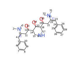 CN(C)/C(=C/c1ccccc1)CC(=O)C1CNCC(C(=O)C/C(=C\c2ccccc2)N(C)C)C1=O